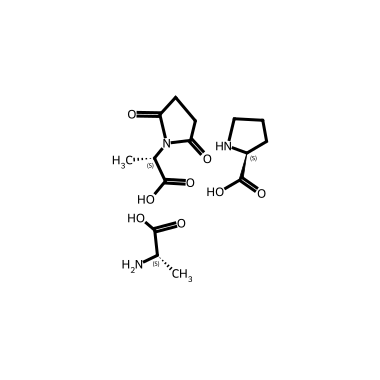 C[C@@H](C(=O)O)N1C(=O)CCC1=O.C[C@H](N)C(=O)O.O=C(O)[C@@H]1CCCN1